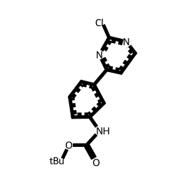 CC(C)(C)OC(=O)Nc1cccc(-c2ccnc(Cl)n2)c1